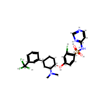 CN(C)[C@H]1C[C@@H](c2cccc(C(F)(F)F)c2)CC[C@@H]1Oc1ccc(S(=O)(=O)Nc2ccncn2)c(F)c1